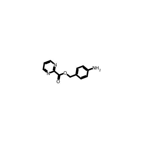 Nc1ccc(COC(=O)c2ncccn2)cc1